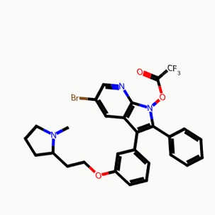 CN1CCCC1CCOc1cccc(-c2c(-c3ccccc3)n(OC(=O)C(F)(F)F)c3ncc(Br)cc23)c1